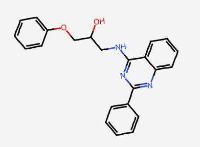 OC(CNc1nc(-c2ccccc2)nc2ccccc12)COc1ccccc1